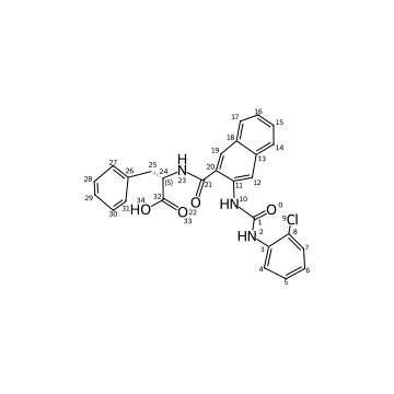 O=C(Nc1ccccc1Cl)Nc1cc2ccccc2cc1C(=O)N[C@@H](Cc1ccccc1)C(=O)O